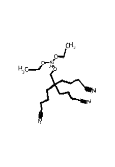 CCO[SiH](OCC)OCC(CCCC#N)(CCCC#N)CCCC#N